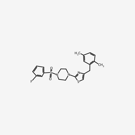 Cc1ccc(C)c(Cc2csc(N3CCN(S(=O)(=O)c4cccc(F)c4)CC3)n2)c1